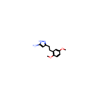 COc1ccc(OC)c(CCc2cc(N)[nH]n2)c1